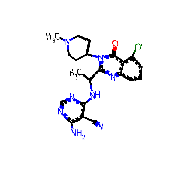 CC(Nc1ncnc(N)c1C#N)c1nc2cccc(Cl)c2c(=O)n1C1CCN(C)CC1